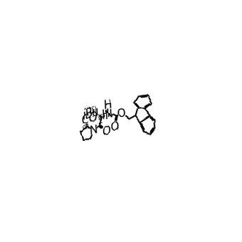 CC[C@H](C)[C@H](NC(=O)OCC1c2ccccc2-c2ccccc21)C(=O)N1CCC[C@H]1C(=O)O